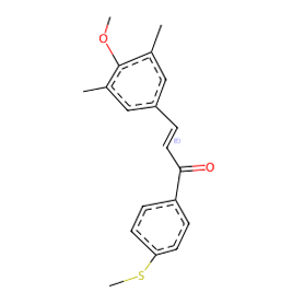 COc1c(C)cc(/C=C/C(=O)c2ccc(SC)cc2)cc1C